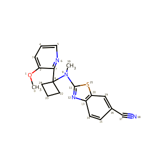 COc1cccnc1C1(N(C)c2nc3ccc(C#N)cc3s2)CCC1